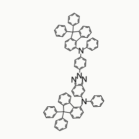 c1ccc(N(c2ccc(-n3nc4ccc(N(c5ccccc5)c5cccc6c5-c5ccccc5C6(c5ccccc5)c5ccccc5)cc4n3)cc2)c2cccc3c2-c2ccccc2C3(c2ccccc2)c2ccccc2)cc1